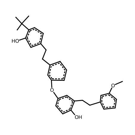 COc1cccc(CCc2cc(Oc3cccc(CCc4ccc(C(C)(C)C)c(O)c4)c3)ccc2O)c1